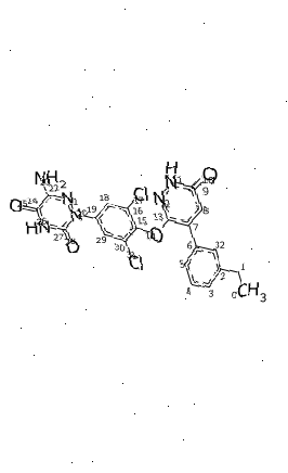 CCc1cccc(-c2cc(=O)[nH]nc2Oc2c(Cl)cc(-n3nc(N)c(=O)[nH]c3=O)cc2Cl)c1